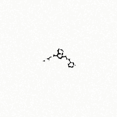 O=C(CNC(=O)c1ccc(C(O)/C=C(/c2cc(Cl)cc(C(F)(F)F)c2)C(F)(F)F)c2ccccc12)NCC(F)(F)F